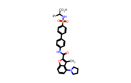 Cc1c(C(=O)Nc2ccc(-c3ccc(S(=O)(=O)N[C@H](C(=O)O)C(C)C)cc3)cc2)oc2cccc(N3CCCC3)c12